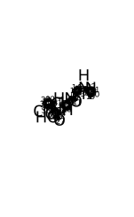 O=C(N[C@@H](Cc1ccc(NC(=O)[C@H]2CC[C@@H](Nc3ncccn3)C2)cc1)C(=O)O)c1c(Cl)cccc1Cl